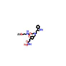 CC(C)OCCCNC(=O)OCCN(CCC1CNc2ccccc21)Cc1ccc(/C=C/C(=O)NO)cc1